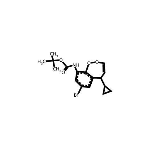 CC(C)(C)OC(=O)Nc1cc(Br)cc2c1OCC=CC2C1CC1